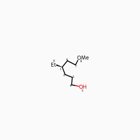 CC[C@H](CCCO)CCOC